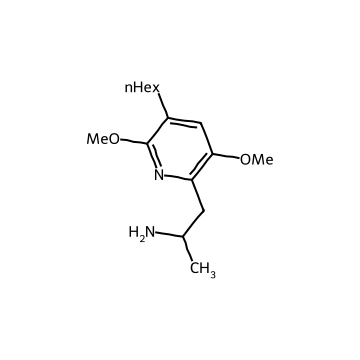 CCCCCCc1cc(OC)c(CC(C)N)nc1OC